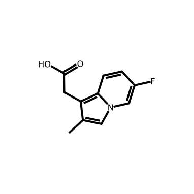 Cc1cn2cc(F)ccc2c1CC(=O)O